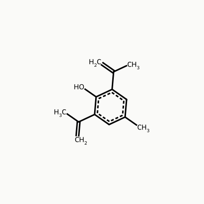 C=C(C)c1cc(C)cc(C(=C)C)c1O